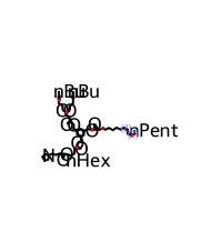 CCCCC#CCCOC(CCC(=O)OCc1cc(COC(=O)CCCCCCC/C=C\C/C=C\CCCCC)cc(COC(=O)CCC(CCCCCC)OC(=O)CCCN2CCCC2)c1)OCCC#CCCCC